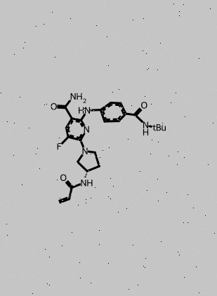 C=CC(=O)N[C@H]1CCN(c2nc(Nc3ccc(C(=O)NC(C)(C)C)cc3)c(C(N)=O)cc2F)C1